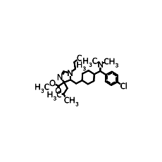 CCCN1C=NC(CC(C)C)(C(=O)OC)C1CC1CCC(C(c2ccc(Cl)cc2)N(C)C)CC1